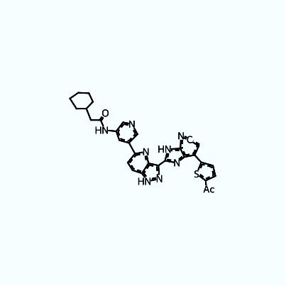 CC(=O)c1ccc(-c2ccnc3[nH]c(-c4n[nH]c5ccc(-c6cncc(NC(=O)CC7CCCCC7)c6)nc45)nc23)s1